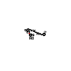 COc1cccc(CCNCCCCCCNCCc2ccc(OC)c(OC)c2CCc2cccc(OC)c2)c1.Cl.Cl